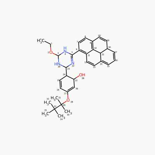 CCOC1NC(c2ccc3c4c2C=CC2=CC=CC(C=C3)C24)=NC(C2C=CC(OC(C)(C)C(C)(C)C)=CC2O)N1